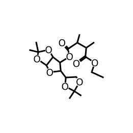 CCOC(=O)C(C)C(C)C(=O)OC1C(C2COC(C)(C)O2)OC2OC(C)(C)OC21